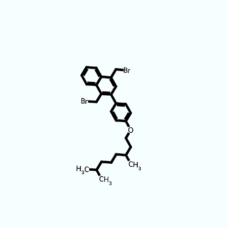 CC(C)CCCC(C)CCOc1ccc(-c2cc(CBr)c3ccccc3c2CBr)cc1